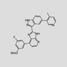 COc1cc(F)cc(-c2ccnc3[nH]c(-c4n[nH]c5ccc(-c6cnccc6C)cc45)nc23)c1